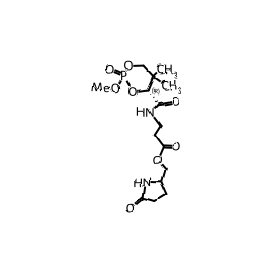 [CH2]OP1(=O)OCC(C)(C)[C@H](C(=O)NCCC(=O)OCC2CCC(=O)N2)O1